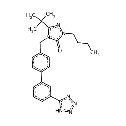 CCCCn1nc(C(C)(C)C)n(Cc2ccc(-c3cccc(-c4nnn[nH]4)c3)cc2)c1=O